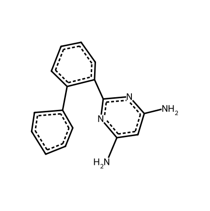 Nc1cc(N)nc(-c2ccccc2-c2ccccc2)n1